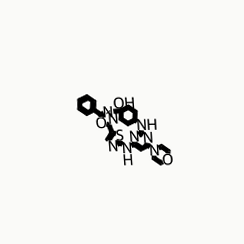 CC1(O)CCC(Nc2nc(Nc3ncc(-c4nnc(-c5ccccc5)o4)s3)cc(N3CCOCC3)n2)CC1